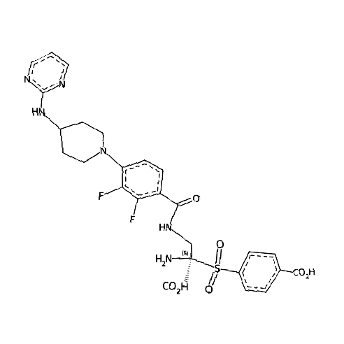 N[C@](CNC(=O)c1ccc(N2CCC(Nc3ncccn3)CC2)c(F)c1F)(C(=O)O)S(=O)(=O)c1ccc(C(=O)O)cc1